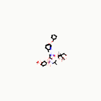 CC(C)CN(C[C@H](O)[C@H](Cc1ccc(OCc2ccccc2)cc1)NC(=O)O[C@H]1CO[C@H]2OCC[C@H]21)S(=O)(=O)c1ccc2c(c1)OCO2